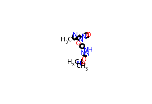 Cc1cnc2cc(N3CCOCC3)nc(O[C@H]3CC[C@@H](Nc4ncc(OCC(=O)N(C)C)cn4)CC3)c2c1